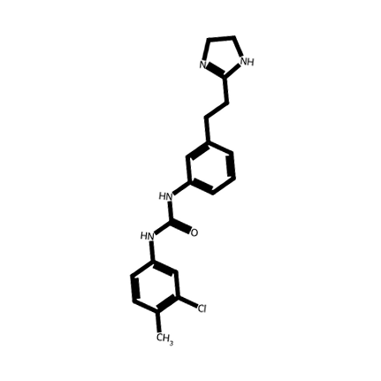 Cc1ccc(NC(=O)Nc2cccc(CCC3=NCCN3)c2)cc1Cl